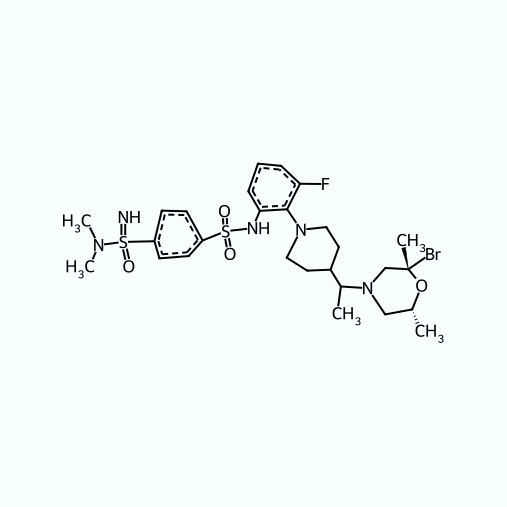 CC(C1CCN(c2c(F)cccc2NS(=O)(=O)c2ccc(S(=N)(=O)N(C)C)cc2)CC1)N1C[C@@H](C)O[C@@](C)(Br)C1